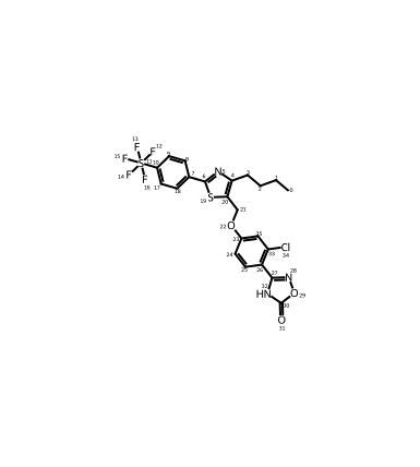 CCCCc1nc(-c2ccc(S(F)(F)(F)(F)F)cc2)sc1COc1ccc(-c2noc(=O)[nH]2)c(Cl)c1